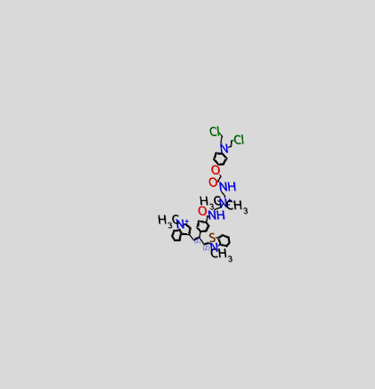 CN1/C(=C/C(=C/c2cc[n+](C)c3ccccc23)c2ccc(C(=O)NCC[N+](C)(C)CCNC(=O)COc3ccc(N(CCCl)CCCl)cc3)cc2)Sc2ccccc21